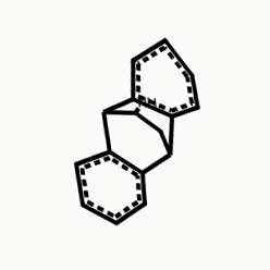 NC1CC2c3ccccc3C1c1ccccc12